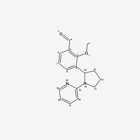 COc1c(C=O)cccc1C1CCCN1c1ccccn1